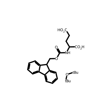 CC(C)(C)OC(C)(C)C.O=C(O)CCC(NC(=O)OCC1c2ccccc2-c2ccccc21)C(=O)O